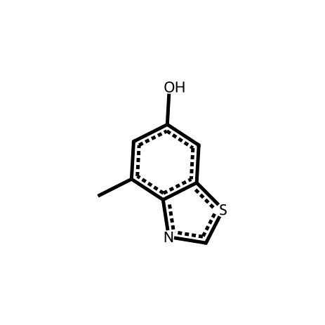 Cc1cc(O)cc2scnc12